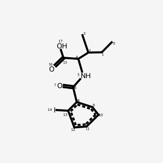 CCC(C)C(NC(=O)c1ccccc1I)C(=O)O